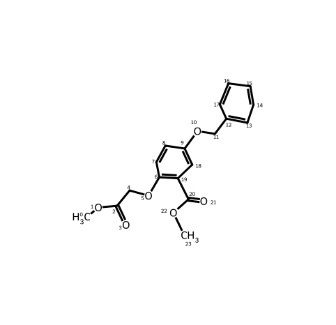 COC(=O)COc1ccc(OCc2ccccc2)cc1C(=O)OC